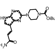 CC(C)COC(=O)N1CCN(c2cnc3[nH]cc(/C=C/C(N)=O)c3n2)CC1